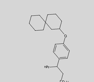 CCCC(CC(=O)O)c1ccc(OC2CCCC3(CCCCC3)C2)cc1